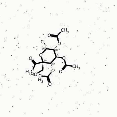 CC(=O)O[C@@H]1[C@@H](OC(C)=O)[C@H](OC(C)=O)[C@](CO)(C(C)=O)O[C@@H]1Cl